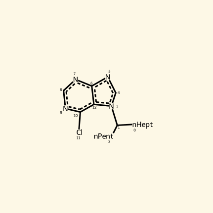 CCCCCCCC(CCCCC)n1cnc2ncnc(Cl)c21